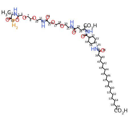 C[C@H](NC(=O)COCCOCCNC(=O)COCCOCCNC(=O)CC[C@H](NC(=O)[C@H]1CC[C@H](CNC(=O)CCCCCCCCCCCCCCCCCCC(=O)O)CC1)C(=O)O)C(=O)P